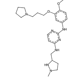 COc1ccc(Nc2nccc(NCC3CCN(C)N3)n2)cc1OCCCN1CCCC1